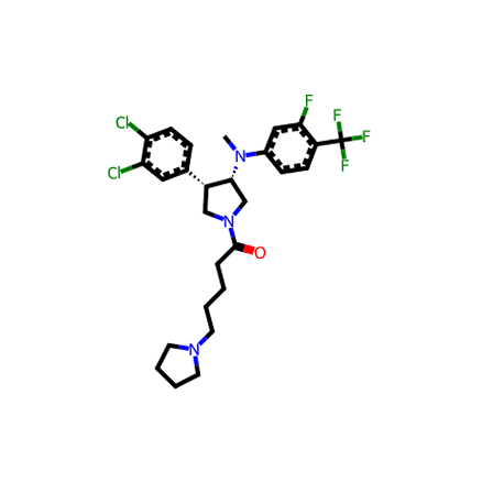 CN(c1ccc(C(F)(F)F)c(F)c1)[C@@H]1CN(C(=O)CCCCN2CCCC2)C[C@@H]1c1ccc(Cl)c(Cl)c1